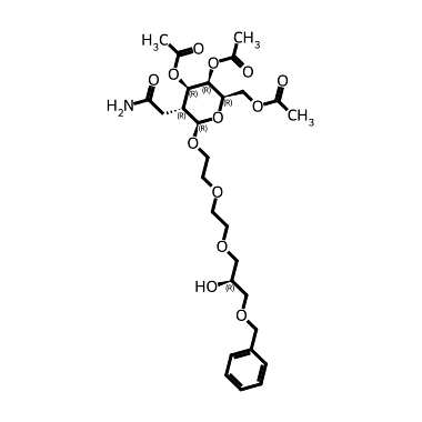 CC(=O)OC[C@H]1O[C@@H](OCCOCCOC[C@H](O)COCc2ccccc2)[C@H](CC(N)=O)[C@@H](OC(C)=O)[C@H]1OC(C)=O